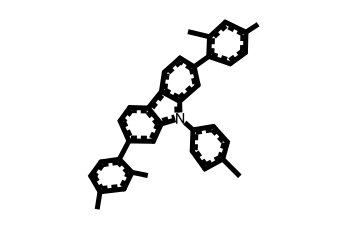 Cc1ccc(-n2c3cc(-c4ccc(C)cc4C)ccc3c3ccc(-c4ccc(C)cc4C)cc32)cc1